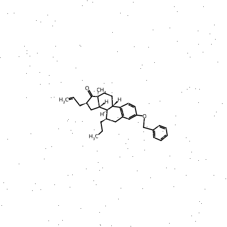 C=CC[C@@H]1C[C@H]2[C@@H]3[C@H](CCC)Cc4cc(OCc5ccccc5)ccc4[C@H]3CC[C@]2(C)C1=O